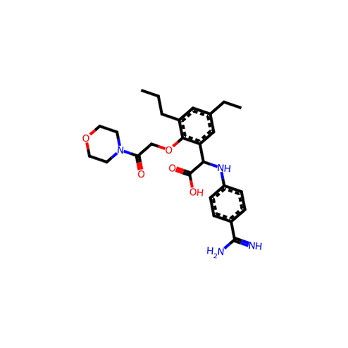 CCCc1cc(CC)cc(C(Nc2ccc(C(=N)N)cc2)C(=O)O)c1OCC(=O)N1CCOCC1